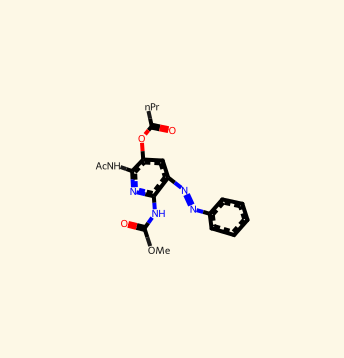 CCCC(=O)Oc1cc(/N=N/c2ccccc2)c(NC(=O)OC)nc1NC(C)=O